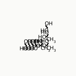 CC(O)CO.CC(O)CO.CC(O)CO.OCCO.OCCO.OCCO.OCCO.OCCO